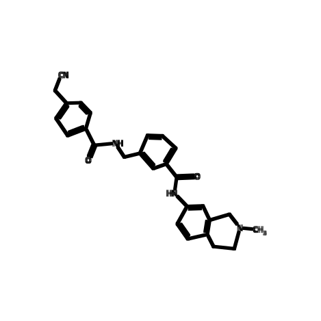 CN1CCc2ccc(NC(=O)c3cccc(CNC(=O)c4ccc(CC#N)cc4)c3)cc2C1